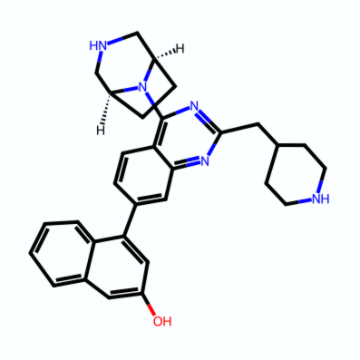 Oc1cc(-c2ccc3c(N4[C@@H]5CC[C@H]4CNC5)nc(CC4CCNCC4)nc3c2)c2ccccc2c1